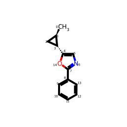 C[C@@H]1C[C@H]1c1cnc(-c2ccccc2)o1